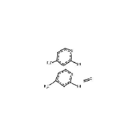 C=O.FC(F)(F)c1ccnc(S)c1.FC(F)(F)c1ccnc(S)c1